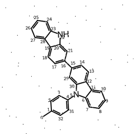 Cc1ccc(-n2c3ccccc3c3ccc(-c4ccc5c(c4)[nH]c4ccccc45)cc32)cc1